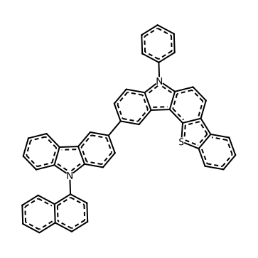 c1ccc(-n2c3ccc(-c4ccc5c(c4)c4ccccc4n5-c4cccc5ccccc45)cc3c3c4sc5ccccc5c4ccc32)cc1